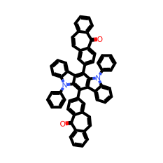 O=c1c2ccccc2ccc2cc(-c3c4c5ccccc5n(-c5ccccc5)c4c(-c4ccc5c(=O)c6ccccc6ccc5c4)c4c5ccccc5n(-c5ccccc5)c34)ccc12